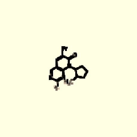 [2H]c1ncc2cc(C(C)C)c(=O)n(C3CCCC3C)c2n1